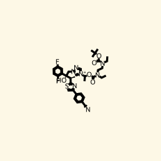 CCN(CCN(CC)C(=O)OC(C)(C)C)C(=O)OC(C)[n+]1cnn(C[C@](O)(c2cc(F)ccc2F)[C@@H](C)c2nc(-c3ccc(C#N)cc3)cs2)c1